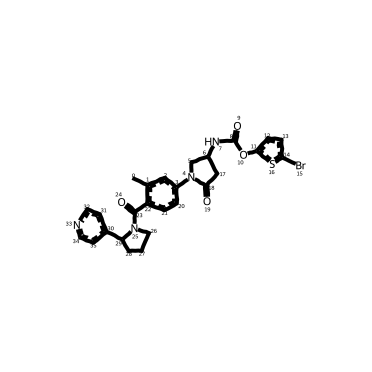 Cc1cc(N2CC(NC(=O)Oc3ccc(Br)s3)CC2=O)ccc1C(=O)N1CCCC1c1ccncc1